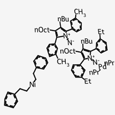 CCCCCCCCC1=C(c2cccc(C)c2)[N+](=[N-])C(c2cccc(C)c2)=C1CCCC.CCCCCCCCC1=C(c2cccc(CC)c2)[N+](=[N-])C(c2cccc(CC)c2)=C1CCCC.CC[CH2][Pd][CH2]CC.c1ccc(C[CH2][Ni][CH2]Cc2ccccc2)cc1